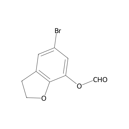 O=COc1cc(Br)cc2c1OCC2